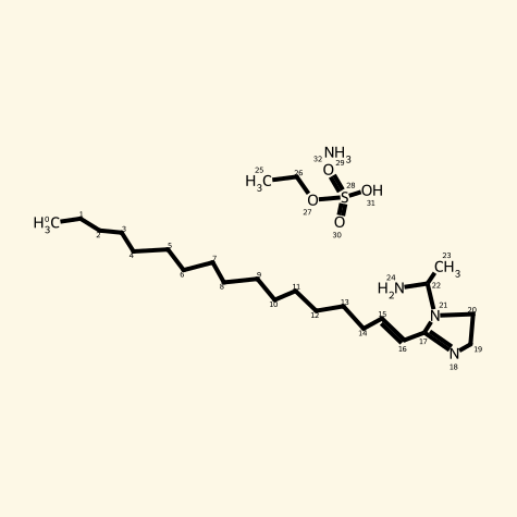 CCCCCCCCCCCCCCCC=CC1=NCCN1C(C)N.CCOS(=O)(=O)O.N